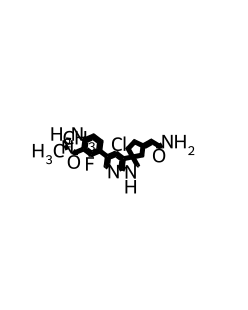 CN(C)C(=O)c1c(N)ccc(-c2cnc3c(c2Cl)C2(CCC(=CC(N)=O)C2)CN3)c1F